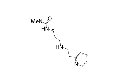 CNC(=O)NSCCNCCc1ccccn1